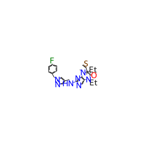 CCN1C(=O)[C@](CC)(C2=CS2)N(C)c2nc(NCc3cnn(Cc4ccc(F)cc4)c3)ncc21